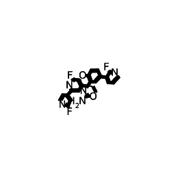 NC1=N[C@]2(CCO1)c1cc(-c3cccnc3F)ccc1Oc1c2cc(-c2ccnc(F)c2)nc1F